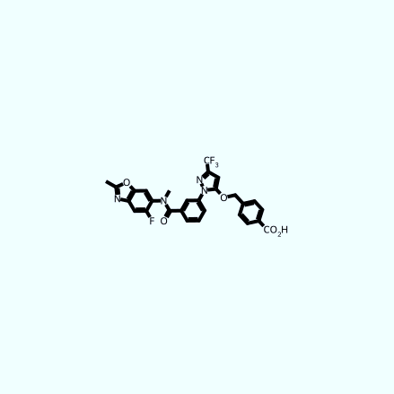 Cc1nc2cc(F)c(N(C)C(=O)c3cccc(-n4nc(C(F)(F)F)cc4OCc4ccc(C(=O)O)cc4)c3)cc2o1